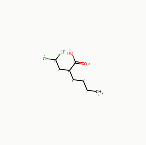 CCCCC(CC(Cl)Cl)C(=O)O